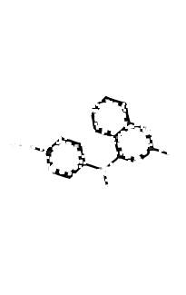 COc1ccc(N(C)c2nc(Cl)nc3ccccc23)cn1